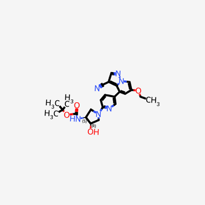 CCOc1cc(-c2ccc(N3C[C@@H](O)[C@@H](NC(=O)OC(C)(C)C)C3)nc2)c2c(C#N)cnn2c1